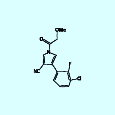 COCC(=O)n1cc(C#N)c(-c2cccc(Cl)c2F)c1